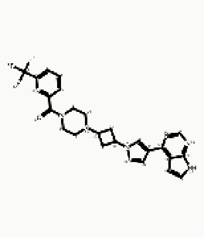 O=C(c1cccc(C(F)(F)F)n1)N1CCN(C2CC(n3cc(-c4ncnc5[nH]ccc45)cn3)C2)CC1